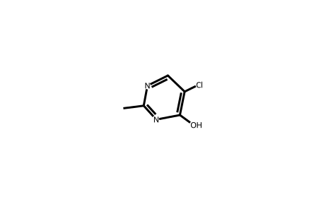 Cc1ncc(Cl)c(O)n1